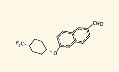 O=Cc1ccc2cc(O[C@H]3CC[C@@H](C(F)(F)F)CC3)ccc2c1